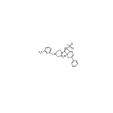 CS(=O)(=O)OC1=CC=C(c2ccccc2)CC1(C(=O)N1CCN(Cc2cccc(C(F)(F)F)c2)CC1)[N+](=O)[O-]